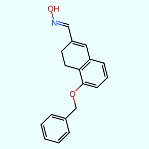 O/N=C/C1=Cc2cccc(OCc3ccccc3)c2CC1